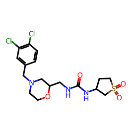 O=C(NCC1CN(Cc2ccc(Cl)c(Cl)c2)CCO1)NC1CCS(=O)(=O)C1